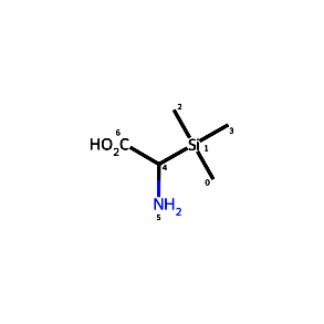 C[Si](C)(C)C(N)C(=O)O